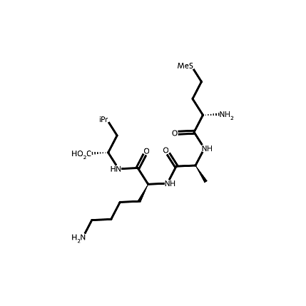 CSCC[C@H](N)C(=O)N[C@@H](C)C(=O)N[C@@H](CCCCN)C(=O)N[C@@H](CC(C)C)C(=O)O